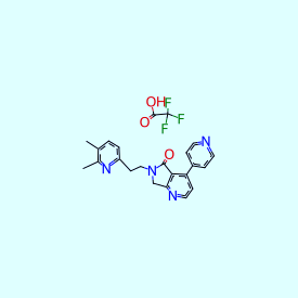 Cc1ccc(CCN2Cc3nccc(-c4ccncc4)c3C2=O)nc1C.O=C(O)C(F)(F)F